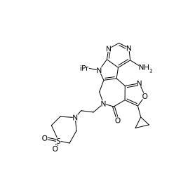 CC(C)n1c2c(c3c(N)ncnc31)-c1noc(C3CC3)c1C(=O)N(CCN1CCS(=O)(=O)CC1)C2